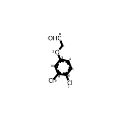 O=[C]COc1ccc(Cl)c(Cl)c1